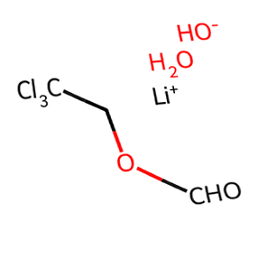 O.O=COCC(Cl)(Cl)Cl.[Li+].[OH-]